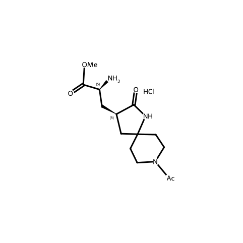 COC(=O)[C@@H](N)C[C@@H]1CC2(CCN(C(C)=O)CC2)NC1=O.Cl